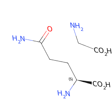 NC(=O)CC[C@H](N)C(=O)O.NCC(=O)O